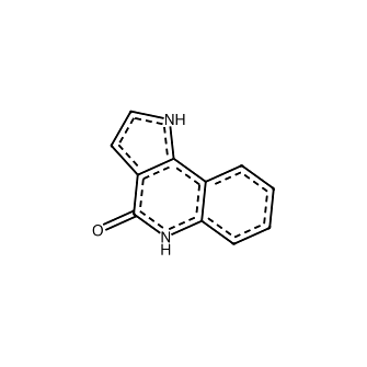 O=c1[nH]c2ccccc2c2[nH]ccc12